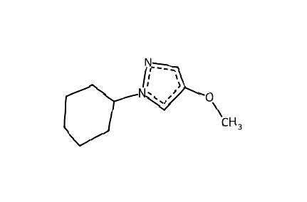 COc1cnn(C2CCCCC2)c1